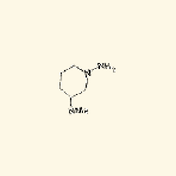 CNC1CCCN(N)C1